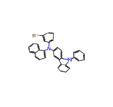 Brc1cccc(N(c2ccc3c(c2)c2ccccc2n3-c2ccccc2)c2cccc3ccccc23)c1